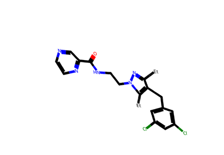 CCc1nn(CCNC(=O)c2cnccn2)c(CC)c1Cc1cc(Cl)cc(Cl)c1